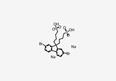 O=S(=O)(O)CCCCC1(CCCCS(=O)(=O)O)c2cc(Br)ccc2-c2ccc(Br)cc21.[Na].[Na]